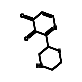 O=C1C=CN=C(C2CNCCS2)C1=O